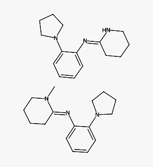 CN1CCCC/C1=N\c1ccccc1N1CCCC1.c1ccc(N2CCCC2)c(/N=C2\CCCCN2)c1